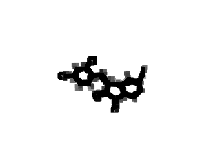 O=C1Nc2ccc(I)cc2C1=Cc1ccc(Cl)cc1Cl